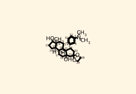 CN(C)c1ccc([C@H]2C[C@]3(C)[C@H](O)CC[C@@H]3[C@@H]3CC[C@@]4(O)CC5(CCC4=C32)OCCO5)cc1